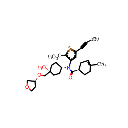 CC1=CC[C@H](C(=O)N(c2cc(C#CC(C)(C)C)sc2C(=O)O)[C@H]2CC[C@](O)(CO[C@@H]3CCOC3)CC2)CC1